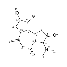 C=C1CC(=O)C2C(SC(=O)C2N(C)C)C2C1CC(O)C2C